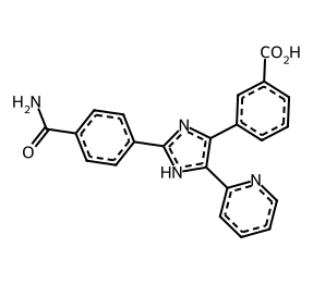 NC(=O)c1ccc(-c2nc(-c3cccc(C(=O)O)c3)c(-c3ccccn3)[nH]2)cc1